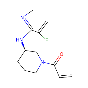 C=CC(=O)N1CCC[C@@H](N/C(=N/C)C(=C)F)C1